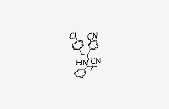 C[C@H](NC(c1ccccc1)C(C)(C)C#N)[C@@H](Cc1ccc(Cl)cc1)c1cccc(C#N)c1